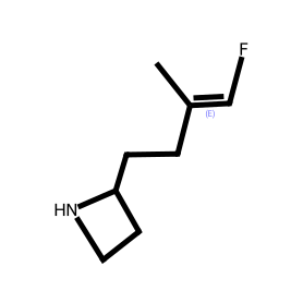 C/C(=C\F)CCC1CCN1